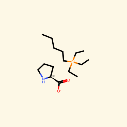 CCCCC[P+](CC)(CC)CC.O=C([O-])[C@@H]1CCCN1